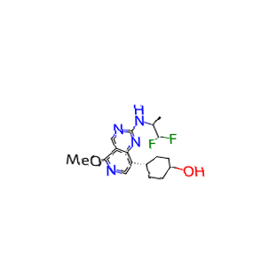 COc1ncc([C@H]2CC[C@H](O)CC2)c2nc(N[C@@H](C)C(F)F)ncc12